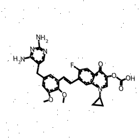 COc1cc(Cc2cnc(N)nc2N)cc(/C=C/c2cc3c(cc2F)c(=O)c(OC(=O)O)cn3C2CC2)c1OC